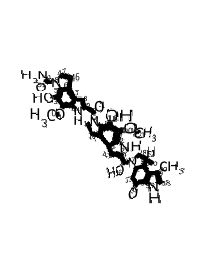 COc1c(O)c2c(c3cc(C(=O)N4CCc5c4c(O)c(OC)c4[nH]c([C@@H](O)N6C[C@H]7C[C@@]78C6=CC(=O)c6[nH]cc(C)c68)cc54)[nH]c13)CCN2C(N)=O